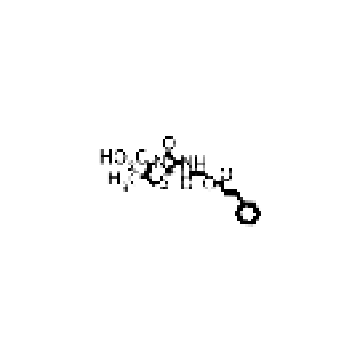 CC1=C(C(=O)O)N2C(=O)C(NC(=O)COC(=O)C=Cc3ccccc3)[C@@H]2SC1